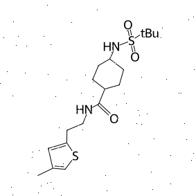 Cc1csc(CCNC(=O)C2CCC(NS(=O)(=O)C(C)(C)C)CC2)c1